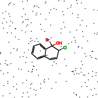 OC1(Br)c2ccccc2C=CC1Cl